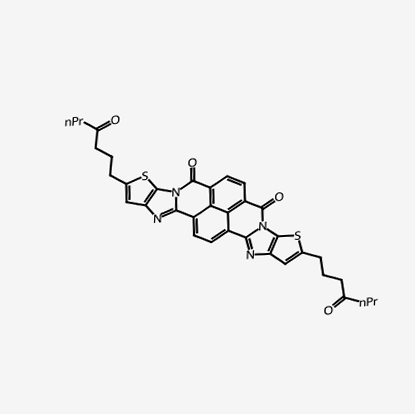 CCCC(=O)CCCc1cc2nc3c4ccc5c6c(ccc(c(=O)n3c2s1)c46)c(=O)n1c5nc2cc(CCCC(=O)CCC)sc21